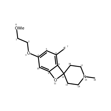 COCCOc1cc(F)c2c(c1)OC21CCN(C)CC1